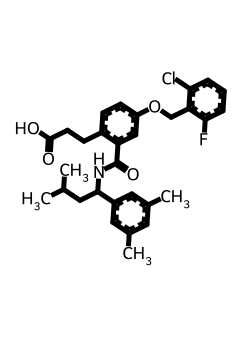 Cc1cc(C)cc(C(CC(C)C)NC(=O)c2cc(OCc3c(F)cccc3Cl)ccc2CCC(=O)O)c1